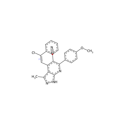 COc1ccc(-c2nc3[nH]nc(C)c3c(/C=C(/Cl)c3ccccc3)c2C#N)cc1